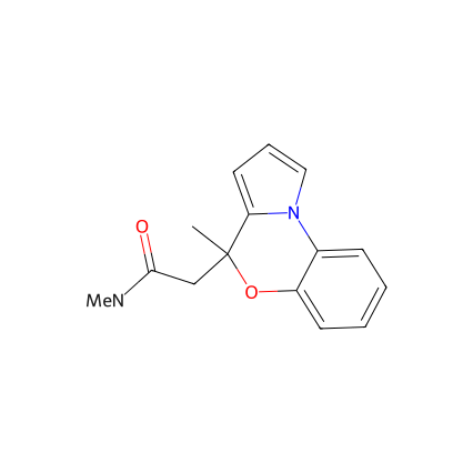 CNC(=O)CC1(C)Oc2ccccc2-n2cccc21